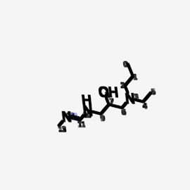 CCCN(CC)CC(O)CN/C=N/C